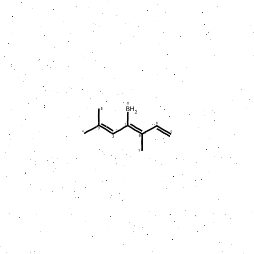 B/C(C=C(C)C)=C(/C)C=C